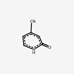 N#Cc1[c]c(=O)[nH]cc1